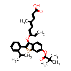 C=C\C(=C/C=C(C)/C=C/C(=O)O)Oc1c(-c2ccccc2C(C)C)sc2cc(OC(=O)C(C)(C)C)ccc12